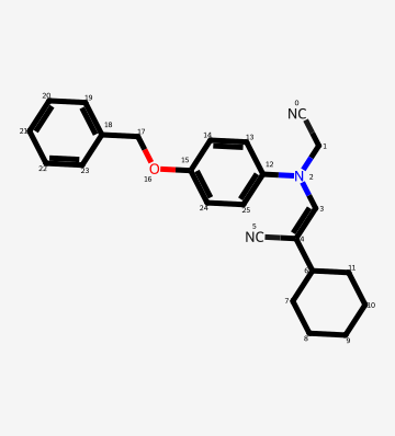 N#CCN(/C=C(\C#N)C1CCCCC1)c1ccc(OCc2ccccc2)cc1